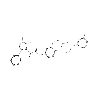 Cc1cc(-c2ccccc2)c(C(=O)C(=O)Nc2ccc3c(c2)OC[C@H]2CN(c4nccc(Cl)n4)CCN32)n1C